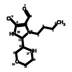 CCCCN1C(C=O)=C(Cl)NC1C1COCCN1